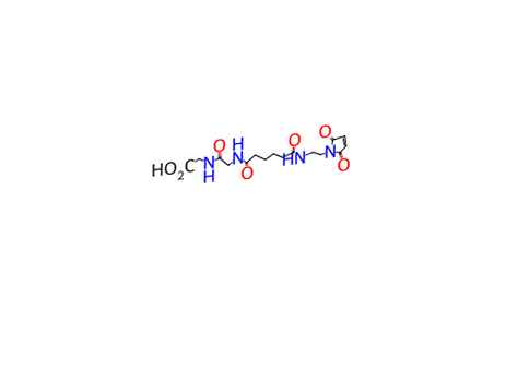 O=C(O)CNC(=O)CNC(=O)CCCCC(=O)NCCN1C(=O)C=CC1=O